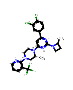 CC1CCN1c1nc(-c2ccc(F)c(Cl)c2)cc(N2CCN(c3ncccc3C(F)(F)F)C[C@H]2C)n1